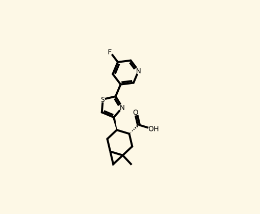 CC12CC1C[C@@H](c1csc(-c3cncc(F)c3)n1)[C@H](C(=O)O)C2